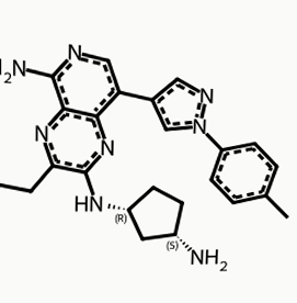 CCc1nc2c(N)ncc(-c3cnn(-c4ccc(C)cc4)c3)c2nc1N[C@@H]1CC[C@H](N)C1